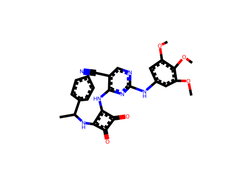 COc1cc(Nc2ncc(C#N)c(Nc3c(NC(C)c4ccccc4)c(=O)c3=O)n2)cc(OC)c1OC